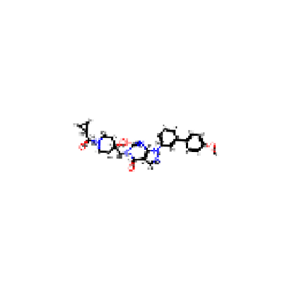 COc1ccc(-c2cccc(-n3ncc4c(=O)n(CC5(O)CCN(C(=O)C6CC6)CC5)cnc43)c2)cc1